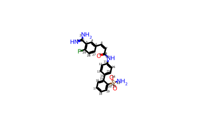 N=C(N)c1cc(/C=C\C(=O)Nc2ccc(-c3ccccc3S(N)(=O)=O)cc2)ccc1F